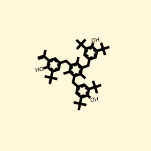 C=C(C)c1cc(Cc2c(C)c(Cc3cc(C(C)(C)C)c(O)c(C(C)(C)C)c3)c(C)c(Cc3cc(C(C)(C)C)c(O)c(C(C)(C)C)c3)c2C)cc(C(C)(C)C)c1O